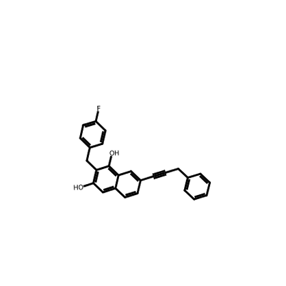 Oc1cc2ccc(C#CCc3ccccc3)cc2c(O)c1Cc1ccc(F)cc1